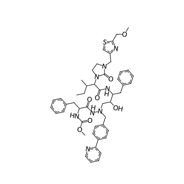 CCC(C)C(C(=O)NC(Cc1ccccc1)C(O)CN(Cc1ccc(-c2ccccn2)cc1)NC(=O)C(Cc1ccccc1)NC(=O)OC)N1CCN(Cc2csc(COC)n2)C1=O